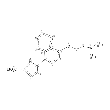 CCOC(=O)c1csc(-c2ccc(OCCN(C)C)c3ccccc23)n1